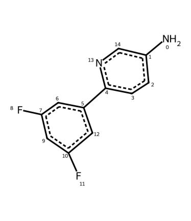 Nc1ccc(-c2cc(F)cc(F)c2)nc1